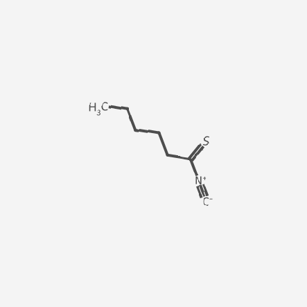 [C-]#[N+]C(=S)CCCCC